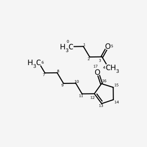 CCCC(C)=O.CCCCCCC1=CCCC1=O